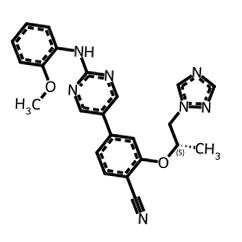 COc1ccccc1Nc1ncc(-c2ccc(C#N)c(O[C@@H](C)Cn3cncn3)c2)cn1